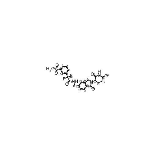 CS(=O)(=O)c1cccc(C(F)(F)C(=O)NCc2ccc3c(c2)CN(C2CCC(=O)NC2=O)C3=O)c1